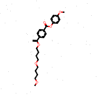 C=C(OCCCCOCCCCOC)c1ccc(C(=O)Oc2ccc(OC)cc2)cc1